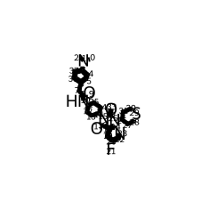 CN(C)c1ccc(CC(=O)NC2CCC(n3c(=O)c4cc(F)cnc4n(C4CCSCC4)c3=O)CC2)cc1